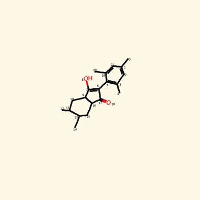 Cc1cc(C)c(C2=C(O)C3CC(C)C(C)CC3C2=O)c(C)c1